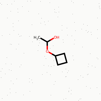 CC(O)OC1CCC1